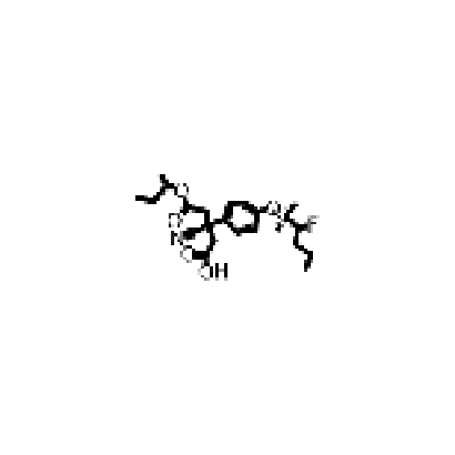 CCCC(F)[Si](C)(C)Oc1ccc(C(C#N)(CC(=O)O)CC(=O)OC(C)CC)cc1